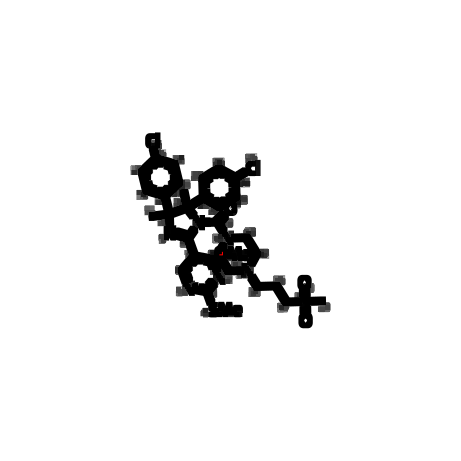 COc1nc(SC)ncc1C1=NC(C)(c2ccc(Cl)cc2)C(C)(c2ccc(Cl)cc2)N1C(=O)N1CCN(CCCS(C)(=O)=O)CC1